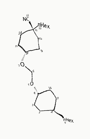 CCCCCC[C@H]1CC[C@H](OCO[C@H]2CC[C@@](C#N)(CCCCCC)CC2)CC1